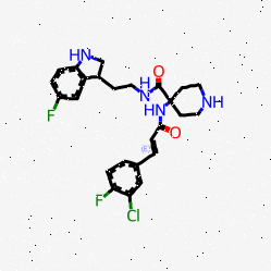 O=C(/C=C/c1ccc(F)c(Cl)c1)NC1(C(=O)NCCC2CNc3ccc(F)cc32)CCNCC1